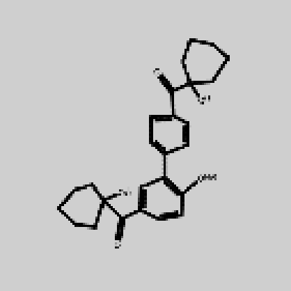 COc1ccc(C(=O)C2(O)CCCCC2)cc1-c1ccc(C(=O)C2(O)CCCCC2)cc1